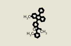 C=Cc1c(-c2ccccc2C)oc2ccc(-c3c4ccccc4c(-c4ccccc4)c4ccc(C)cc34)cc12